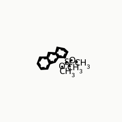 CO[Si](C)(OC)c1cccc2cc3ccccc3cc12